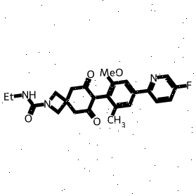 CCNC(=O)N1CC2(CC(=O)C(c3c(C)cc(-c4ccc(F)cn4)cc3OC)C(=O)C2)C1